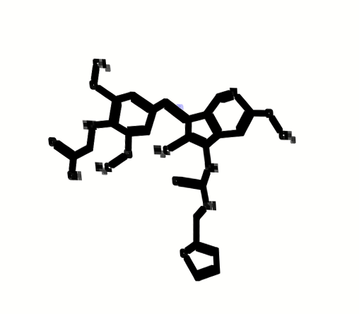 COc1cc2c(cn1)/C(=C/c1cc(OC)c(NCC(=O)O)c(OC)c1)C(C)=C2NC(=O)NCc1ccco1